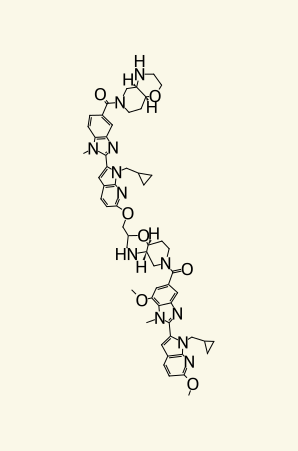 COc1ccc2cc(-c3nc4cc(C(=O)N5CC[C@H]6OC(COc7ccc8cc(-c9nc%10cc(C(=O)N%11CC[C@H]%12OCCN[C@H]%12C%11)ccc%10n9C)n(CC9CC9)c8n7)CN[C@H]6C5)cc(OC)c4n3C)n(CC3CC3)c2n1